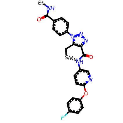 CCNC(=O)c1ccc(-n2nnc(C(=O)Nc3ccc(Oc4ccc(F)cc4)nc3)c2CSC)cc1